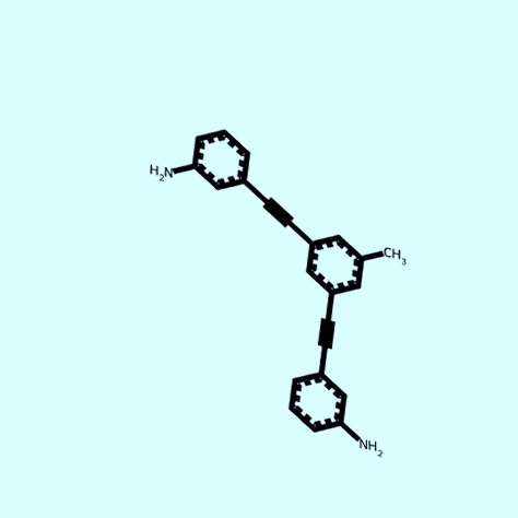 Cc1cc(C#Cc2cccc(N)c2)cc(C#Cc2cccc(N)c2)c1